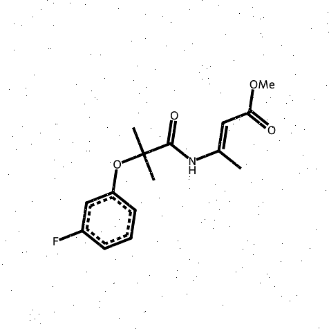 COC(=O)C=C(C)NC(=O)C(C)(C)Oc1cccc(F)c1